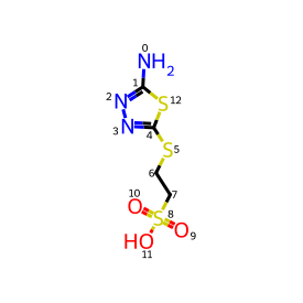 Nc1nnc(SCCS(=O)(=O)O)s1